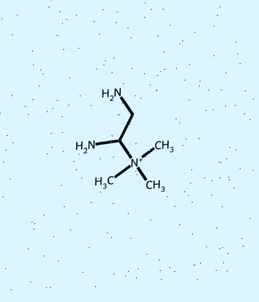 C[N+](C)(C)C(N)CN